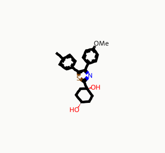 COc1ccc(-c2nc([C@]3(O)CC[C@@H](O)CC3)sc2-c2ccc(C)cc2)cc1